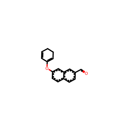 O=Cc1ccc2ccc(OC3=CCCC=C3)cc2c1